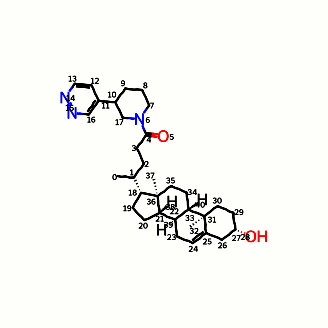 CC(CCC(=O)N1CCCC(c2ccnnc2)C1)[C@H]1CC[C@H]2[C@@H]3CC=C4C[C@@H](O)CC[C@]4(C)[C@H]3CC[C@]12C